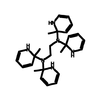 CC1(N(CCN(C2(C)C=CC=CN2)C2(C)C=CC=CN2)C2(C)C=CC=CN2)C=CC=CN1